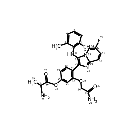 Cc1cccc(C)c1Nc1c(-c2ccc(OC(=O)C(C)N)cc2OCC(N)=O)nc2ccc(F)cn12